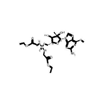 CCOC(=O)CNP(=O)(NCC(=O)OCC)OC[C@H]1O[C@@H](n2cnc3c(OC)nc(N)nc32)[C@@](C)(O)C1O